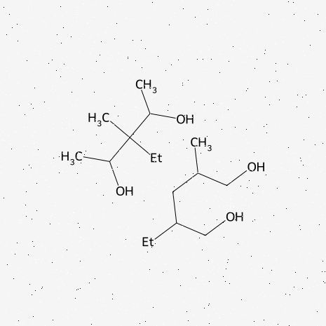 CCC(C)(C(C)O)C(C)O.CCC(CO)CC(C)CO